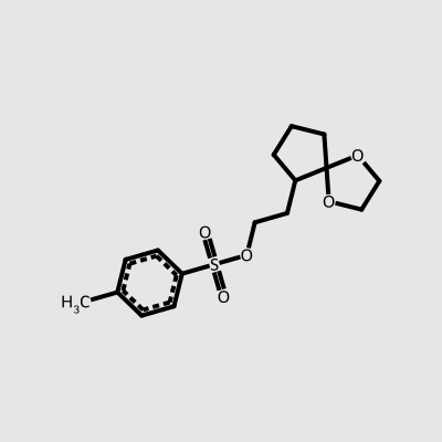 Cc1ccc(S(=O)(=O)OCCC2CCCC23OCCO3)cc1